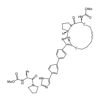 COC(=O)N[C@H]1CCCCCCCCc2[nH]c(nc2-c2ccc(-c3ccc(-c4cnc([C@@H]5CCCN5C(=O)[C@@H](NC(=O)OC)C(C)C)[nH]4)cc3)cc2)[C@@H]2CCCN2C1=O